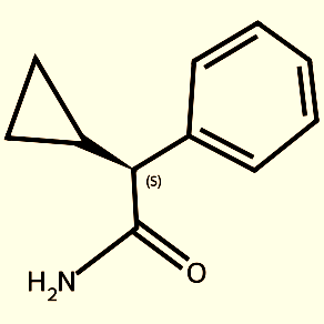 NC(=O)[C@H](c1ccccc1)C1CC1